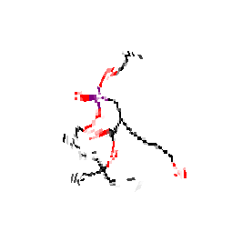 CCOP(=O)(CC(CCCO)C(=O)OC(C)(C)C)OCC